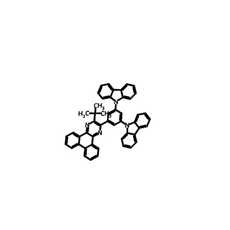 CC(C)(C)c1nc2c3ccccc3c3ccccc3c2nc1-c1cc(-n2c3ccccc3c3ccccc32)cc(-n2c3ccccc3c3ccccc32)c1